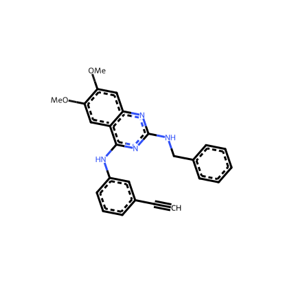 C#Cc1cccc(Nc2nc(NCc3ccccc3)nc3cc(OC)c(OC)cc23)c1